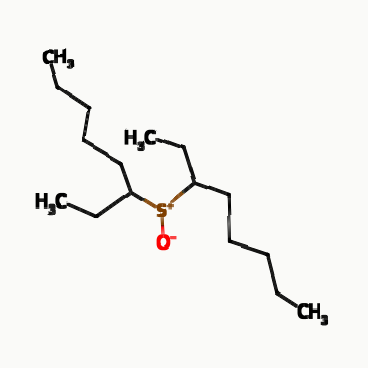 CCCCCC(CC)[S+]([O-])C(CC)CCCCC